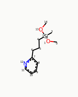 CO[Si](C)(CCCc1ccccn1)OC